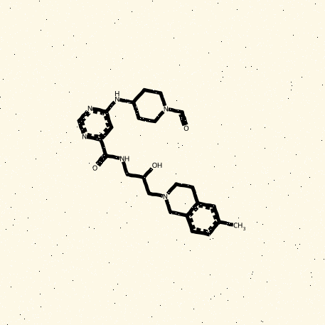 Cc1ccc2c(c1)CCN(CC(O)CNC(=O)c1cc(NC3CCN(C=O)CC3)ncn1)C2